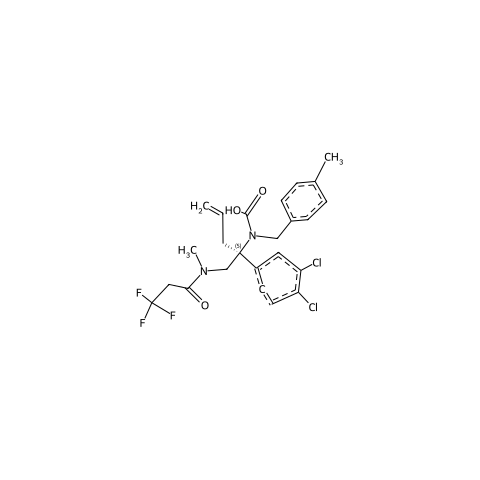 C=CC[C@@](CN(C)C(=O)CC(F)(F)F)(c1ccc(Cl)c(Cl)c1)N(Cc1ccc(C)cc1)C(=O)O